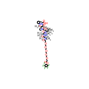 CC[C@H](C)[C@@H]([C@@H](CC(=O)N1CCC[C@H]1[C@H](OC)[C@@H](C)C(=O)N[C@@H](Cc1ccccc1)C(=O)O)OC)N(C)C(=O)[C@@H](NC(=O)C(C)(C)N(C)C(=O)CCOCCOCCOCCOCCOCCC(=O)Oc1c(F)c(F)c(F)c(F)c1F)C(C)C